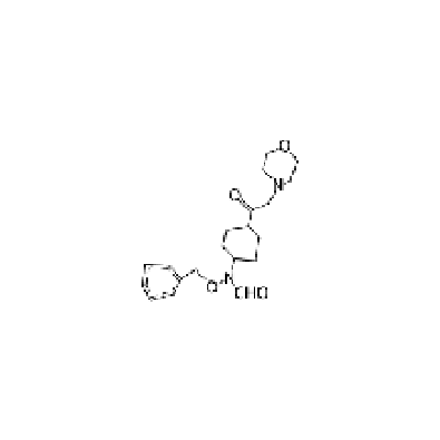 O=CN(OCc1ccccc1)C1CCC(C(=O)CN2CCOCC2)CC1